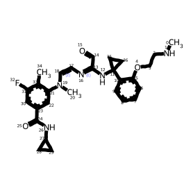 CNCCOc1ccccc1C1(N/C(C=O)=N/C=C\N(C)c2cc(C(=O)NC3CC3)cc(F)c2C)CC1